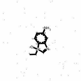 CC[N+]1([O-])C=Nc2cc(N)ccc21